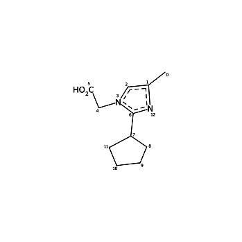 Cc1cn(CC(=O)O)c(C2CCCC2)n1